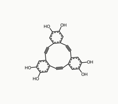 Oc1cc2c(cc1O)C#Cc1cc(O)c(O)cc1C#Cc1cc(O)c(O)cc1C#C2